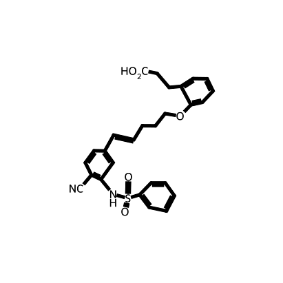 N#Cc1ccc(/C=C/CCCOc2ccccc2CCC(=O)O)cc1NS(=O)(=O)c1ccccc1